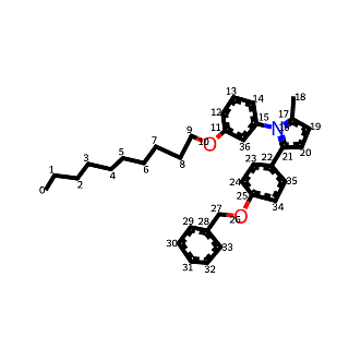 CCCCCCCCCCOc1cccc(-n2c(C)ccc2-c2ccc(OCc3ccccc3)cc2)c1